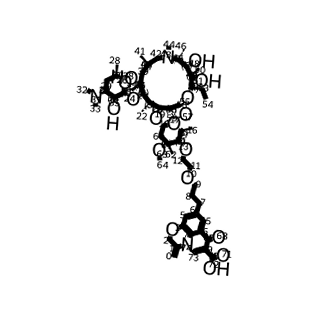 C=C1COc2cc(CCCOCCO[C@H]3[C@H](C)OC(O[C@H]4[C@H](C)[C@@H](O[C@@H]5O[C@H](C)C[C@H](N(C)C)[C@H]5O)[C@](C)(O)C[C@@H](C)CN(C)[C@H](C)[C@H](O)[C@](C)(O)[C@@H](CC)OC(=O)[C@@H]4C)C[C@@]3(C)OC)cc3c(=O)c(C(=O)O)cn1c23